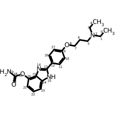 CCN(CC)CCCOc1ccc(-c2nc3c(OC(N)=O)cccc3[nH]2)cc1